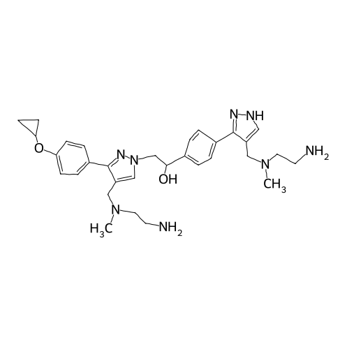 CN(CCN)Cc1c[nH]nc1-c1ccc(C(O)Cn2cc(CN(C)CCN)c(-c3ccc(OC4CC4)cc3)n2)cc1